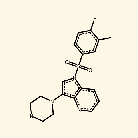 Cc1cc(S(=O)(=O)n2cc(N3CCNCC3)c3ncccc32)ccc1F